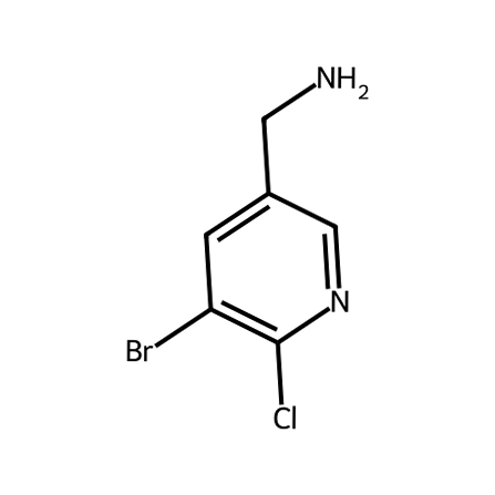 NCc1cnc(Cl)c(Br)c1